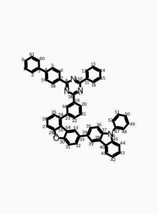 c1ccc(-c2ccc(-c3nc(-c4ccccc4)nc(-c4cccc(-c5cccc6oc7ccc(-c8ccc9c(c8)c8ccccc8n9-c8ccccc8)cc7c56)c4)n3)cc2)cc1